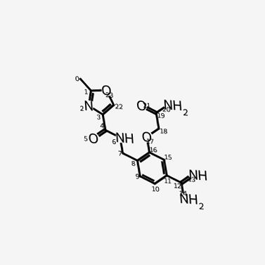 Cc1nc(C(=O)NCc2ccc(C(=N)N)cc2OCC(N)=O)co1